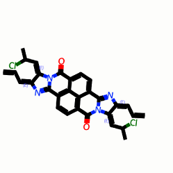 C=C/C=c1/nc2c3ccc4c(=O)n5c(=C/C(C)Cl)/c(=C\C=C)nc5c5ccc(c(=O)n2/c1=C/C(C)Cl)c3c45